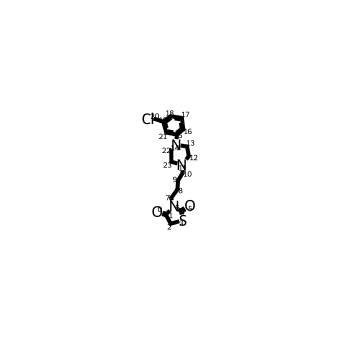 O=C1CSC(=O)N1CCCCN1CCN(c2cccc(Cl)c2)CC1